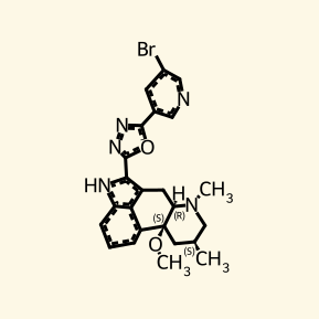 CO[C@]12C[C@H](C)CN(C)[C@@H]1Cc1c(-c3nnc(-c4cncc(Br)c4)o3)[nH]c3cccc2c13